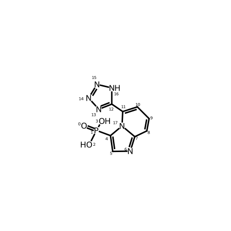 O=P(O)(O)c1cnc2cccc(-c3nnn[nH]3)n12